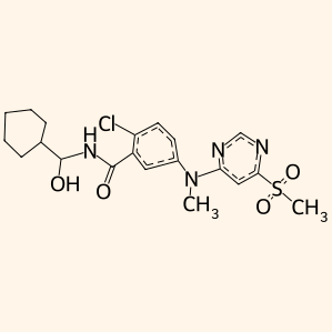 CN(c1ccc(Cl)c(C(=O)NC(O)C2CCCCC2)c1)c1cc(S(C)(=O)=O)ncn1